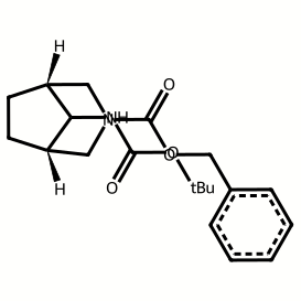 CC(C)(C)OC(=O)NC1[C@@H]2CC[C@H]1CN(C(=O)OCc1ccccc1)C2